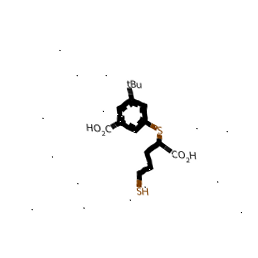 CC(C)(C)c1cc(SC(CCCS)C(=O)O)cc(C(=O)O)c1